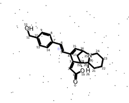 O=C1C=C2C(/C=C/c3ccc(CO)cc3)=CC3C[C@@]2(O1)[C@H]1CCCCN31